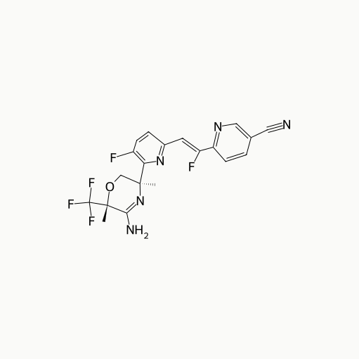 C[C@@]1(c2nc(/C=C(\F)c3ccc(C#N)cn3)ccc2F)CO[C@@](C)(C(F)(F)F)C(N)=N1